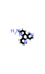 Nc1ccc(-c2cccnc2)c(-c2cccnc2)n1